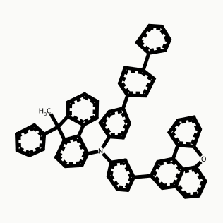 CC1(c2ccccc2)c2ccccc2-c2c(N(c3ccc(-c4ccc(-c5ccccc5)cc4)cc3)c3cccc(-c4cc5c6c(cccc6c4)Oc4ccccc4-5)c3)cccc21